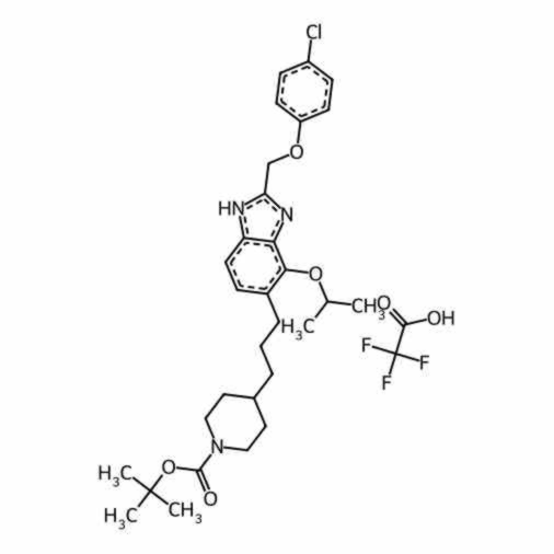 CC(C)Oc1c(CCCC2CCN(C(=O)OC(C)(C)C)CC2)ccc2[nH]c(COc3ccc(Cl)cc3)nc12.O=C(O)C(F)(F)F